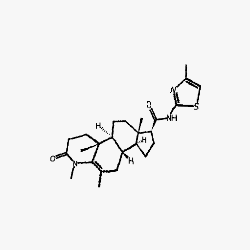 CC1=C2N(C)C(=O)CC[C@]2(C)[C@H]2CC[C@]3(C)[C@@H](C(=O)Nc4nc(C)cs4)CC[C@H]3[C@@H]2C1